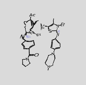 CCn1c(C)c(C(C)=O)s/c1=N/c1ccc(C(=O)N2CCCC2)cc1.CCn1c(C)c(C(C)=O)s/c1=N\c1ccc(N2CCN(C)CC2)cc1